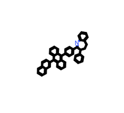 c1ccc(C2CCc3ccccc3N=C2c2ccc(-c3c4ccccc4c(-c4ccc5ccccc5c4)c4ccccc34)cc2)cc1